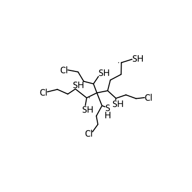 S[CH]CCC(C(S)CCCl)C([C](S)C(S)CCCl)(C(S)CCCl)C(S)CCCl